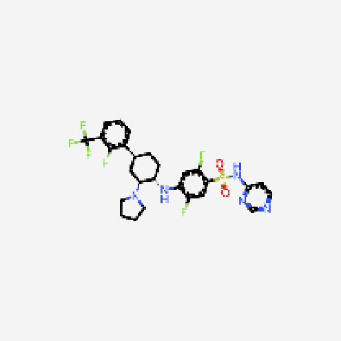 O=S(=O)(Nc1ccncn1)c1cc(F)c(N[C@H]2CC[C@H](c3cccc(C(F)(F)F)c3F)C[C@@H]2N2CCCC2)cc1F